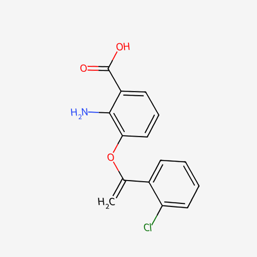 C=C(Oc1cccc(C(=O)O)c1N)c1ccccc1Cl